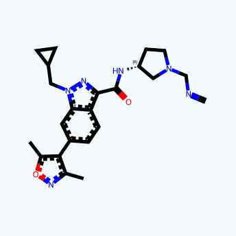 C=NCN1CC[C@@H](NC(=O)c2nn(CC3CC3)c3cc(-c4c(C)noc4C)ccc23)C1